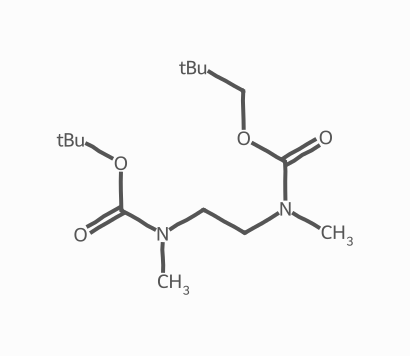 CN(CCN(C)C(=O)OC(C)(C)C)C(=O)OCC(C)(C)C